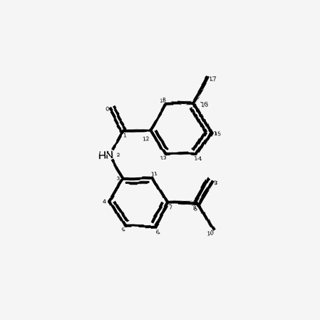 C=C(Nc1cccc(C(=C)C)c1)C1=CC=C=C(C)C1